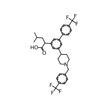 CC(C)CC(C(=O)O)c1cc(-c2ccc(C(F)(F)F)cc2)cc(C2CCN(Cc3ccc(C(F)(F)F)cc3)CC2)c1